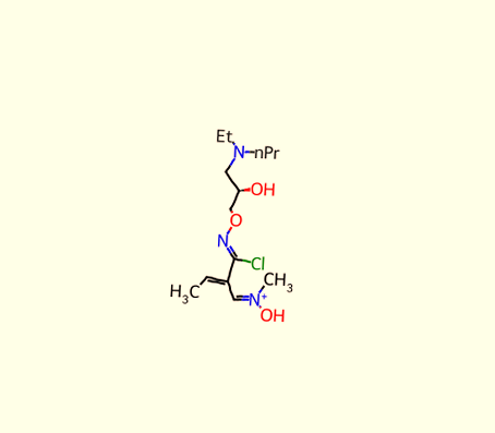 C/C=C(\C=[N+](/C)O)C(/Cl)=N/OC[C@H](O)CN(CC)CCC